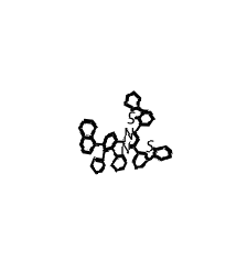 c1ccc(-c2c(-c3nc(-c4cccc5c4sc4ccccc45)cc(-c4cccc5c4sc4ccccc45)n3)ccc(-c3cccc4ccccc34)c2-c2ccccc2)cc1